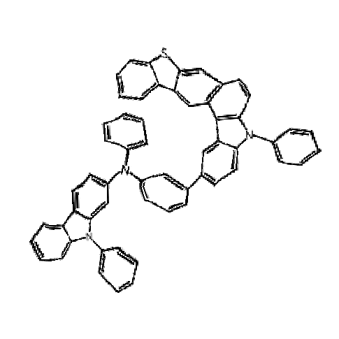 c1ccc(N(c2cccc(-c3ccc4c(c3)c3c5cc6c(cc5ccc3n4-c3ccccc3)sc3ccccc36)c2)c2ccc3c4ccccc4n(-c4ccccc4)c3c2)cc1